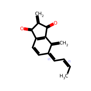 C=C1C(=O)c2cc/c(=C/C=C\C)c(=C)c2C1=O